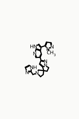 Cn1nccc1-c1c[nH]c2ncc(-c3cc4n(n3)CCC43CCN(Cc4ncc[nH]4)C3)cc12